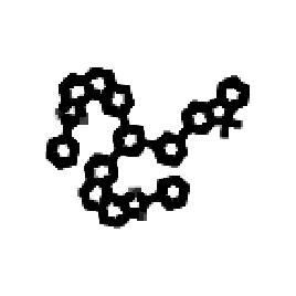 CC1(C)c2ccccc2-c2ccc(-c3cccc(-c4cc(-c5ccc6ccc7ccc8oc(-c9ccccc9)nc8c7c6c5)cc(-c5ccc6ccc7ccc8oc(-c9ccccc9)nc8c7c6c5)c4)c3)cc21